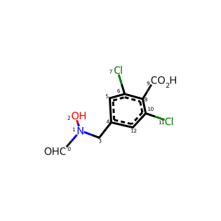 O=CN(O)Cc1cc(Cl)c(C(=O)O)c(Cl)c1